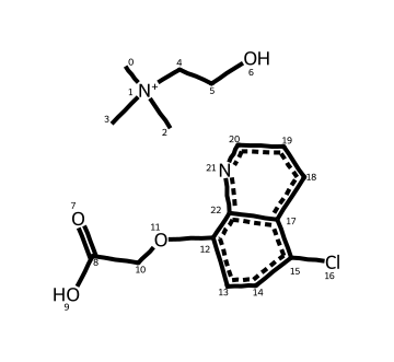 C[N+](C)(C)CCO.O=C(O)COc1ccc(Cl)c2cccnc12